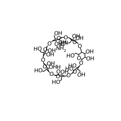 NCCNCC1OC2OC3C(CO)OC(OC4C(CO)OC(OC5C(CO)OC(OC6C(CO)OC(OC7C(CO)OC(OC8C(CO)OC(OC1C(O)C2O)C(O)C8O)C(O)C7O)C(O)C6O)C(O)C5O)C(O)C4O)C(O)C3O